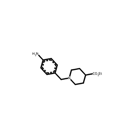 CCOC(=O)C1CCN(Cc2ccc(N)cc2)CC1